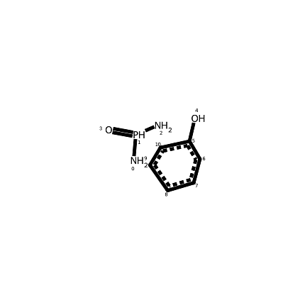 N[PH](N)=O.Oc1ccccc1